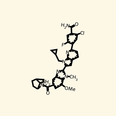 COc1cc(C(=O)N2CC3CCC2[C@@H]3N)cc2nc(-c3cc4ccc(-c5cc(Cl)c(C(N)=O)cc5F)nc4n3CC3CC3)n(C)c12